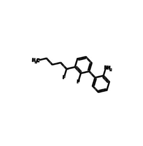 CCCC[C](F)c1cccc(-c2ccccc2N)c1F